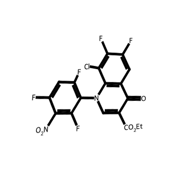 CCOC(=O)c1cn(-c2c(F)cc(F)c([N+](=O)[O-])c2F)c2c(Cl)c(F)c(F)cc2c1=O